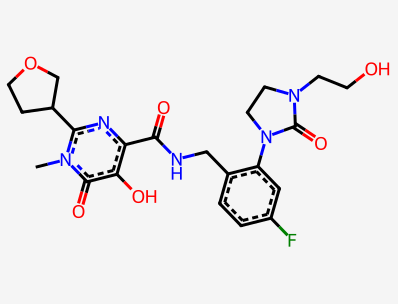 Cn1c(C2CCOC2)nc(C(=O)NCc2ccc(F)cc2N2CCN(CCO)C2=O)c(O)c1=O